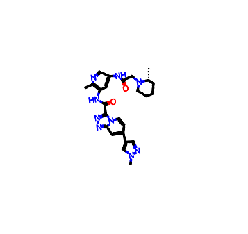 Cc1ncc(NC(=O)CN2CCCC[C@H]2C)cc1NC(=O)c1nnc2cc(-c3cnn(C)c3)ccn12